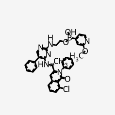 COc1cc(B(O)OCCNc2ncc(-c3ccccc3)c(N[C@@H](C)c3cc4cccc(Cl)c4c(=O)n3-c3ccccc3)n2)ccn1